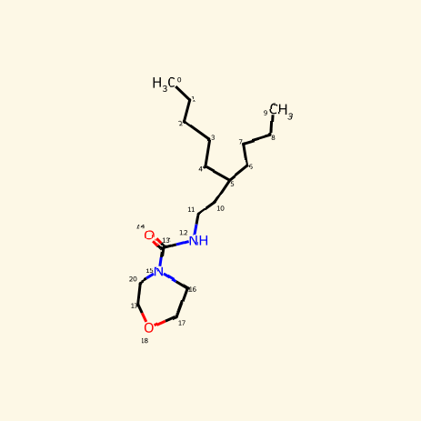 CCCCCC(CCCC)CCNC(=O)N1CCOCC1